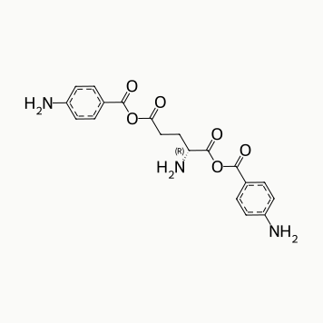 Nc1ccc(C(=O)OC(=O)CC[C@@H](N)C(=O)OC(=O)c2ccc(N)cc2)cc1